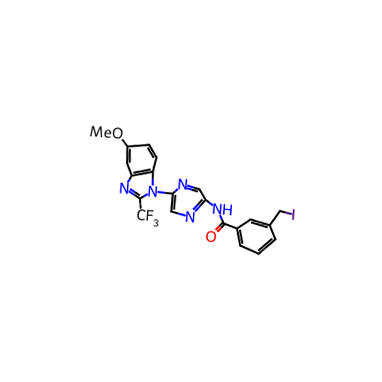 COc1ccc2c(c1)nc(C(F)(F)F)n2-c1cnc(NC(=O)c2cccc(CI)c2)cn1